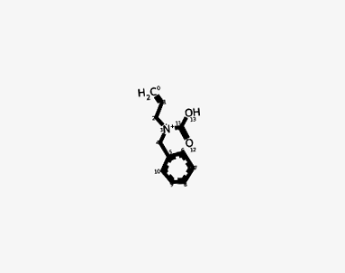 C=CC[N+](Cc1ccccc1)C(=O)O